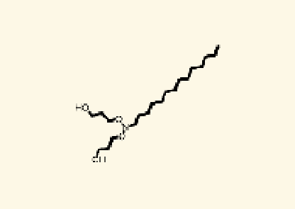 CCCCCCCCCCCCCCN(OCCCO)OCCCO